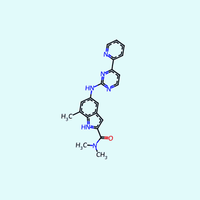 Cc1cc(Nc2nccc(-c3ccccn3)n2)cc2cc(C(=O)N(C)C)[nH]c12